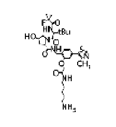 Cc1ncsc1-c1ccc(CNC(=O)[C@@H]2C[C@@H](O)CN2C(=O)[C@@H](NC(=O)C2(F)CC2)C(C)(C)C)c(OCC(=O)NCCCCCN)c1